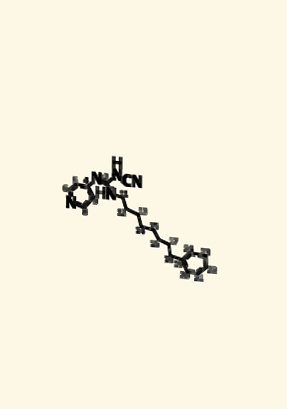 N#CNC(=Nc1ccncc1)NCCCCCCCCc1ccccc1